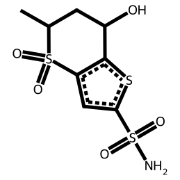 CC1CC(O)c2sc(S(N)(=O)=O)cc2S1(=O)=O